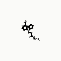 CCOC(=O)CCn1c2c(c3c(C#N)cccc31)CCC2